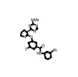 CNc1ncnc(-c2cccnc2Oc2cc(F)cc(C(=O)Nc3cccc(C(C)C)c3)c2)n1